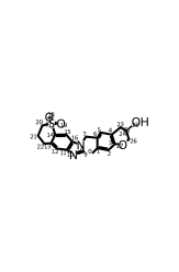 Cc1cc2c(cc1Cn1cnc3cc4c(cc31)S(=O)(=O)CCC4)C[C@@H](O)CO2